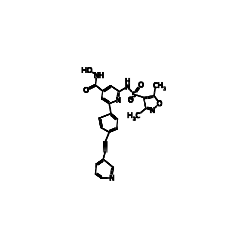 Cc1noc(C)c1S(=O)(=O)Nc1cc(C(=O)NO)cc(-c2ccc(C#Cc3cccnc3)cc2)n1